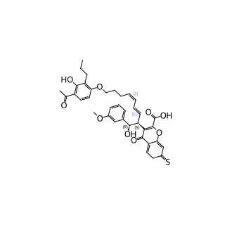 CCCc1c(OCCC/C=C\C=C\[C@@H](c2c(C(=O)O)oc3c(c2=O)=CCC(=S)C=3)[C@@H](O)c2cccc(OC)c2)ccc(C(C)=O)c1O